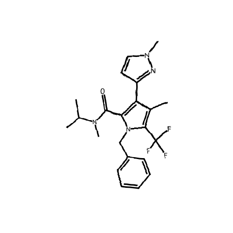 Cc1c(-c2ccn(C)n2)c(C(=O)N(C)C(C)C)n(Cc2ccccc2)c1C(F)(F)F